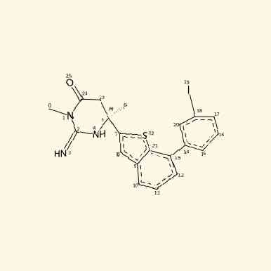 CN1C(=N)N[C@](C)(c2cc3cccc(-c4cccc(I)c4)c3s2)CC1=O